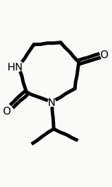 CC(C)N1CC(=O)CCNC1=O